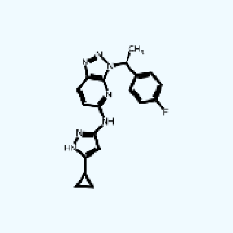 C[C@@H](c1ccc(F)cc1)n1nnc2ccc(Nc3cc(C4CC4)[nH]n3)nc21